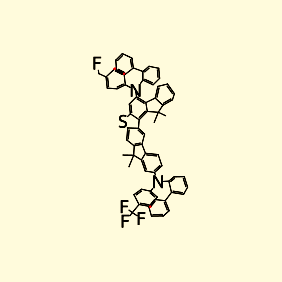 CC1(C)c2cc(N(c3ccc(C(F)(F)F)cc3)c3ccccc3-c3ccccc3)ccc2-c2cc3c(cc21)sc1cc(N(c2ccc(CF)cc2)c2ccccc2-c2ccccc2)c2c(c13)C(C)(C)c1ccccc1-2